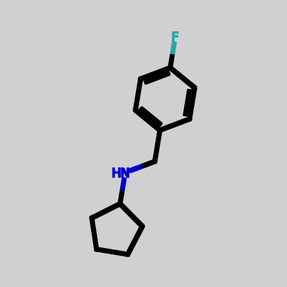 Fc1ccc(CNC2CCCC2)cc1